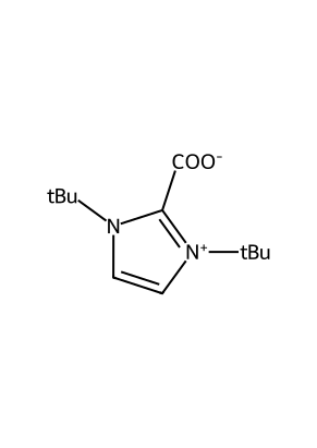 CC(C)(C)n1cc[n+](C(C)(C)C)c1C(=O)[O-]